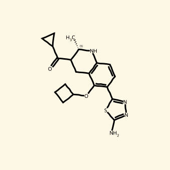 C[C@@H]1Nc2ccc(-c3nnc(N)s3)c(OC3CCC3)c2CC1C(=O)C1CC1